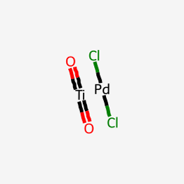 [Cl][Pd][Cl].[O]=[Ti]=[O]